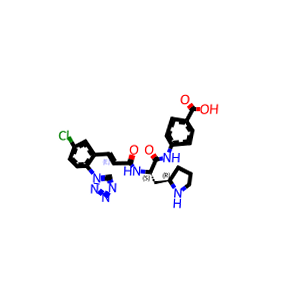 O=C(/C=C/c1cc(Cl)ccc1-n1cnnn1)N[C@@H](C[C@H]1CCCN1)C(=O)Nc1ccc(C(=O)O)cc1